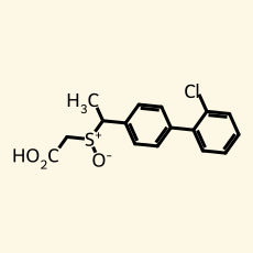 CC(c1ccc(-c2ccccc2Cl)cc1)[S+]([O-])CC(=O)O